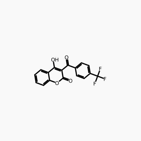 O=C(c1ccc(C(F)(F)F)cc1)c1c(O)c2ccccc2oc1=O